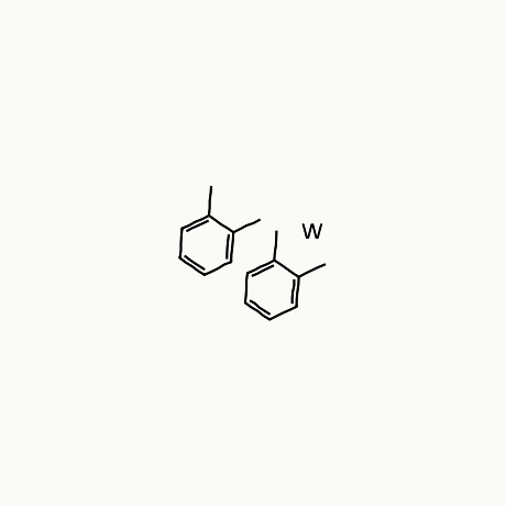 Cc1ccccc1C.Cc1ccccc1C.[W]